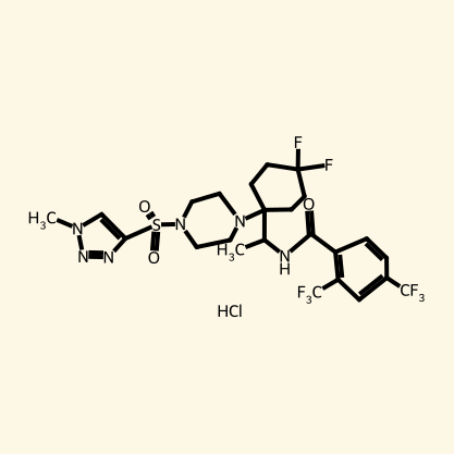 CC(NC(=O)c1ccc(C(F)(F)F)cc1C(F)(F)F)C1(N2CCN(S(=O)(=O)c3cn(C)nn3)CC2)CCC(F)(F)CC1.Cl